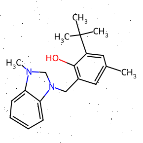 Cc1cc(CN2CN(C)c3ccccc32)c(O)c(C(C)(C)C)c1